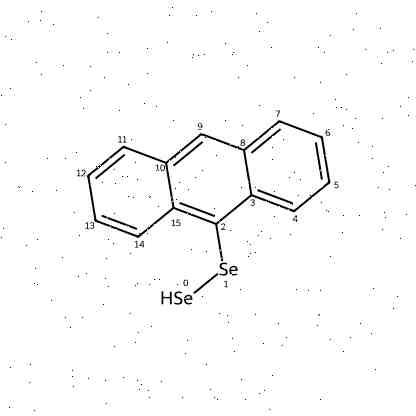 [SeH][Se]c1c2ccccc2cc2ccccc12